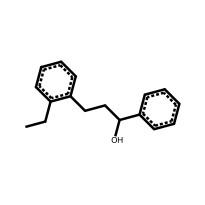 CCc1ccccc1CCC(O)c1ccccc1